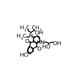 CCC(C(C)O)N(CC)c1ccc(NCC(O)CO)c2c1C(=O)c1ccccc1C2=O.Cl